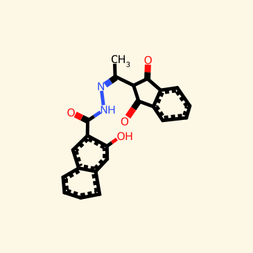 CC(=NNC(=O)c1cc2ccccc2cc1O)C1C(=O)c2ccccc2C1=O